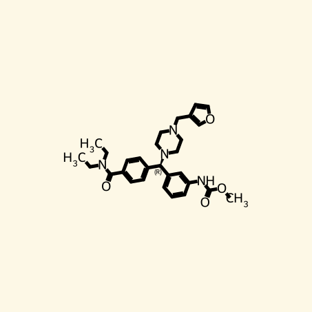 CCN(CC)C(=O)c1ccc([C@H](c2cccc(NC(=O)OC)c2)N2CCN(Cc3ccoc3)CC2)cc1